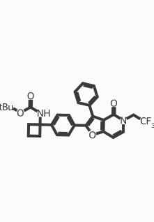 CC(C)(C)OC(=O)NC1(c2ccc(-c3oc4ccn(CC(F)(F)F)c(=O)c4c3-c3ccccc3)cc2)CCC1